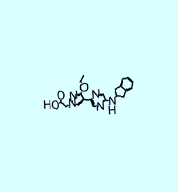 CCOc1nn(CC(=O)O)cc1-c1cnc(NC2Cc3ccccc3C2)cn1